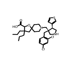 CCCC1(CCC)CC2(CCN(C[C@]3(Cc4ccc(Cl)cc4Cl)CNC[C@@H]3c3ccsc3)CC2)OC1C(=O)O